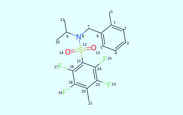 Cc1ccccc1CN(C(C)C)S(=O)(=O)c1c(F)c(F)c(C)c(F)c1F